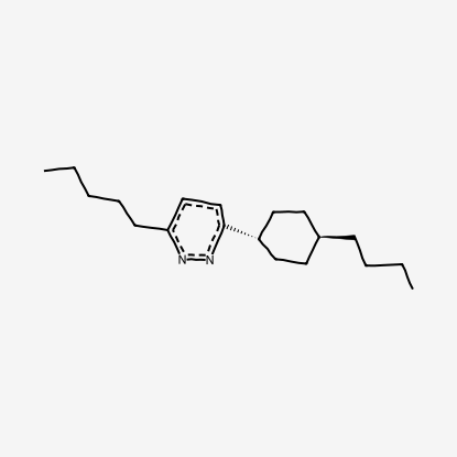 CCCCCc1ccc([C@H]2CC[C@H](CCCC)CC2)nn1